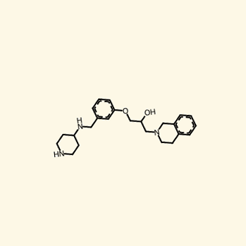 OC(COc1cccc(CNC2CCNCC2)c1)CN1CCc2ccccc2C1